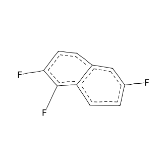 Fc1ccc2c(F)c(F)ccc2c1